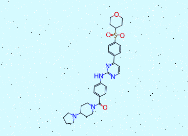 O=C(c1ccc(Nc2nccc(-c3ccc(S(=O)(=O)C4CCOCC4)cc3)n2)cc1)N1CCC(N2CCCC2)CC1